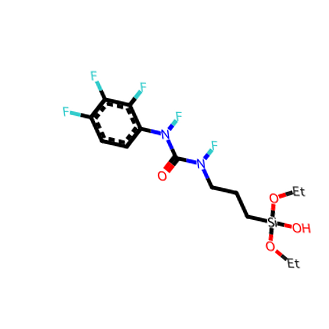 CCO[Si](O)(CCCN(F)C(=O)N(F)c1ccc(F)c(F)c1F)OCC